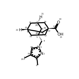 Cc1nn(C[C@@]23C[C@H]4C[C@@H](C2)C[C@](C(=O)O)(C4)C3)cc1I